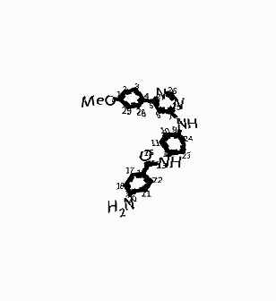 COc1ccc(-c2cc(Nc3ccc(NC(=O)c4ccc(N)cc4)cc3)ncn2)cc1